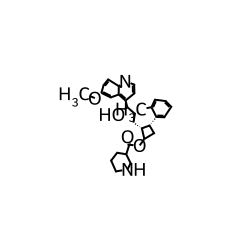 COc1ccc2nccc(C(O)CC[C@H]3C(OC(=O)C4CCCNC4)C[C@H]3c3ccccc3C)c2c1